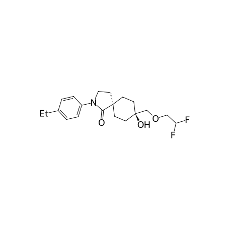 CCc1ccc(N2CC[C@]3(CC[C@@](O)(COCC(F)F)CC3)C2=O)cc1